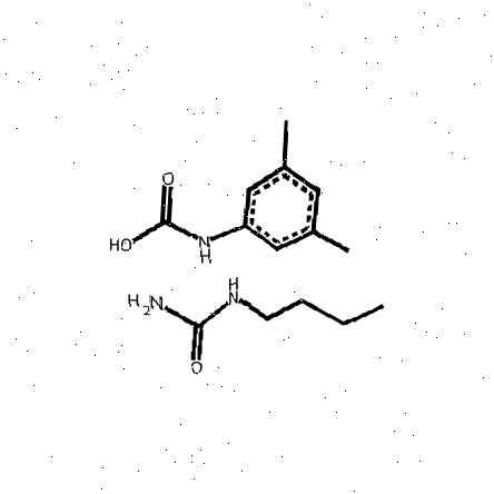 CCCCNC(N)=O.Cc1cc(C)cc(NC(=O)O)c1